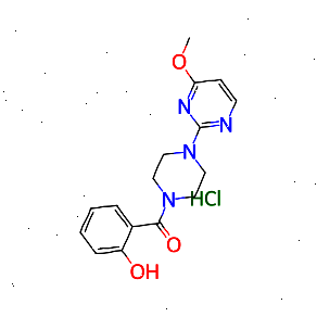 COc1ccnc(N2CCN(C(=O)c3ccccc3O)CC2)n1.Cl